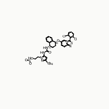 CC(C)(C)c1cc(NC(=O)N[C@H]2CC[C@@H](Oc3ccc4nnc(-c5c(Cl)cccc5Cl)n4c3)c3ccccc32)n(CCO[SH](=O)=O)n1